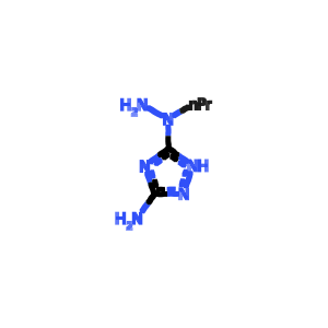 CCCN(N)c1nc(N)n[nH]1